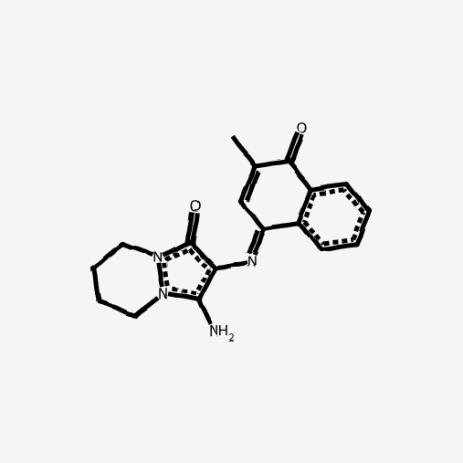 CC1=CC(=Nc2c(N)n3n(c2=O)CCCC3)c2ccccc2C1=O